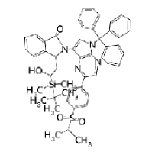 CC(C)S(=O)(=O)c1ccc(-c2cnc3c(n2)c(N2C(=O)c4ccccc4C2CC(O)[Si](C)(C)C(C)(C)C)cn3C(c2ccccc2)(c2ccccc2)c2ccccc2)cc1